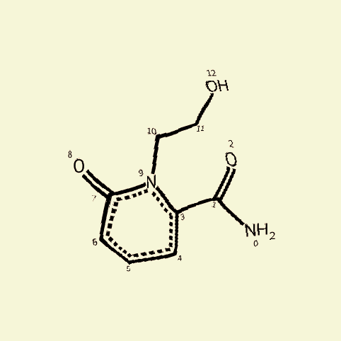 NC(=O)c1cccc(=O)n1CCO